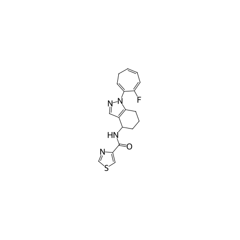 O=C(NC1CCCc2c1cnn2C1=CCC=CC=C1F)c1cscn1